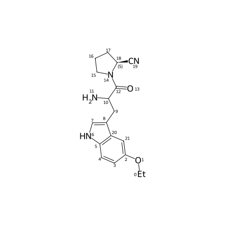 CCOc1ccc2[nH]cc(CC(N)C(=O)N3CCC[C@H]3C#N)c2c1